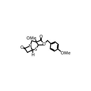 COc1ccc(COC(=O)C2(OC)CN3C(=O)C[C@H]3SC2C)cc1